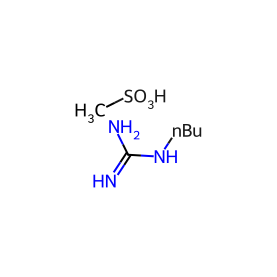 CCCCNC(=N)N.CS(=O)(=O)O